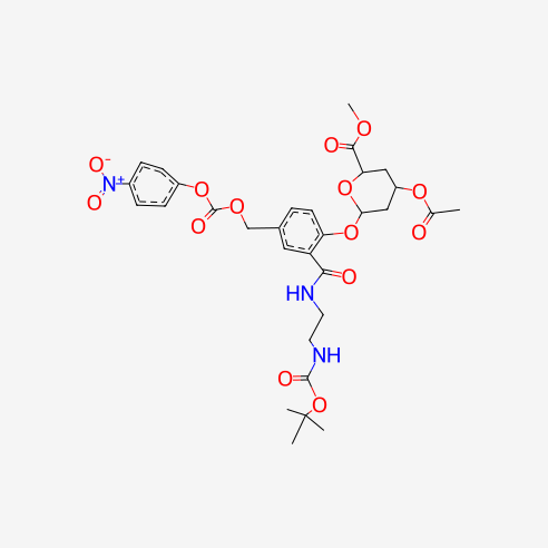 COC(=O)C1CC(OC(C)=O)CC(Oc2ccc(COC(=O)Oc3ccc([N+](=O)[O-])cc3)cc2C(=O)NCCNC(=O)OC(C)(C)C)O1